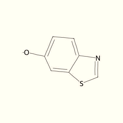 [O]c1ccc2ncsc2c1